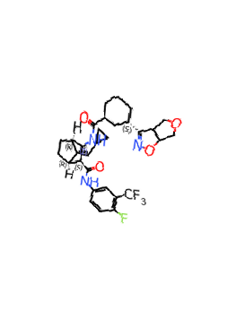 O=C(N[C@H]1[C@@H](C(=O)Nc2ccc(F)c(C(F)(F)F)c2)[C@H]2CC[C@@H]1/C2=C\C1CC1)C1CCC[C@H](C2=NOC3COCC23)C1